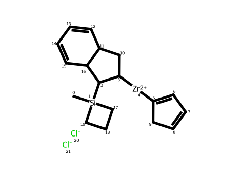 C[Si]1(C2[CH]([Zr+2][C]3=CC=CC3)CC3C=CC=CC32)CCC1.[Cl-].[Cl-]